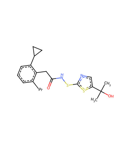 CC(C)c1cccc(C2CC2)c1CC(=O)NSc1ncc(C(C)(C)O)s1